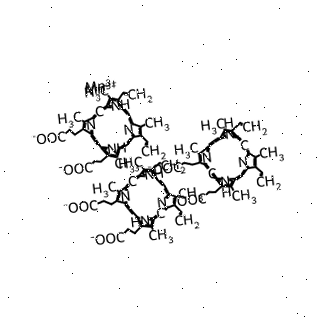 C=CC1=C(C)c2cc3[nH]c(cc4nc(cc5[nH]c(cc1n2)c(C)c5CCC(=O)[O-])C(CCC(=O)[O-])=C4C)c(C)c3C=C.C=CC1=C(C)c2cc3[nH]c(cc4nc(cc5[nH]c(cc1n2)c(C)c5CCC(=O)[O-])C(CCC(=O)[O-])=C4C)c(C)c3C=C.C=CC1=C(C)c2cc3[nH]c(cc4nc(cc5[nH]c(cc1n2)c(C)c5CCC(=O)[O-])C(CCC(=O)[O-])=C4C)c(C)c3C=C.[Mn+3].[Mn+3]